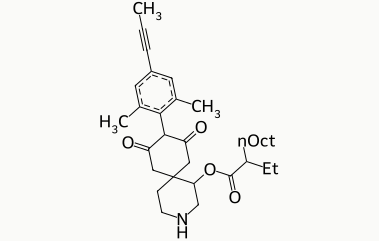 CC#Cc1cc(C)c(C2C(=O)CC3(CCNCC3OC(=O)C(CC)CCCCCCCC)CC2=O)c(C)c1